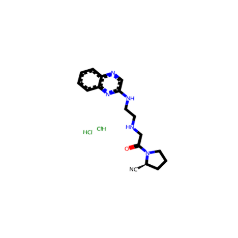 Cl.Cl.N#C[C@@H]1CCCN1C(=O)CNCCNc1cnc2ccccc2n1